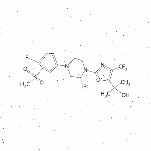 CC(C)[C@@H]1CN(c2ccc(F)c(S(C)(=O)=O)c2)CCN1c1nc(C(F)(F)F)c(C(C)(C)O)o1